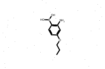 CCCOc1ccc(B(O)O)c(N)c1